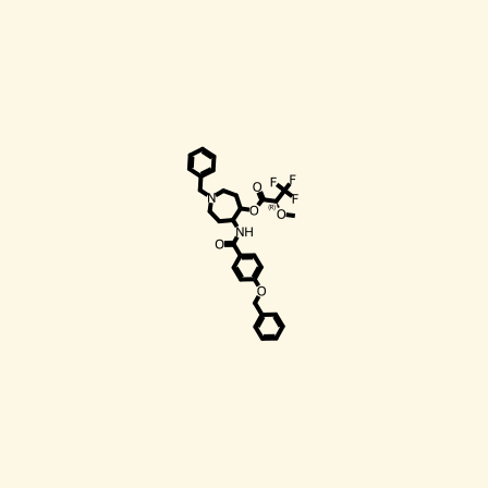 CO[C@H](C(=O)OC1CCN(Cc2ccccc2)CCC1NC(=O)c1ccc(OCc2ccccc2)cc1)C(F)(F)F